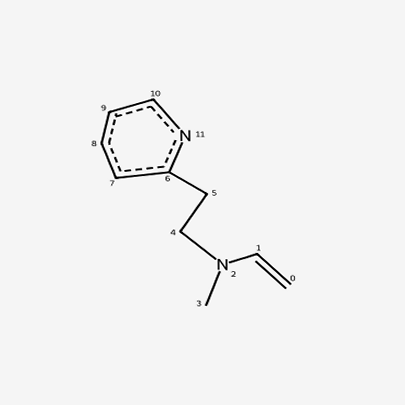 C=CN(C)CCc1ccccn1